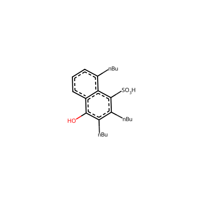 CCCCc1c(CCCC)c(S(=O)(=O)O)c2c(CCCC)cccc2c1O